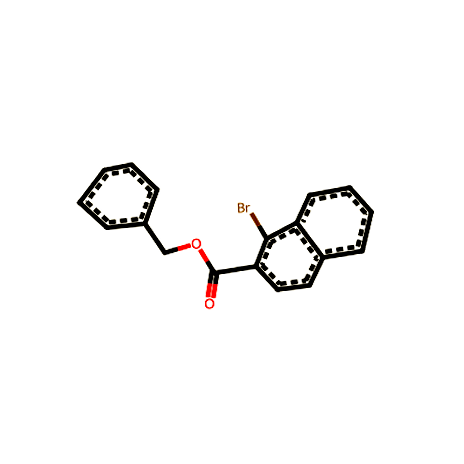 O=C(OCc1ccccc1)c1ccc2ccccc2c1Br